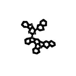 c1ccc2cc(-c3nc(-n4c5ccccc5c5c6c7ccccc7n7c8cc9ccccc9cc8c(cc54)c67)nc4c3sc3ccccc34)ccc2c1